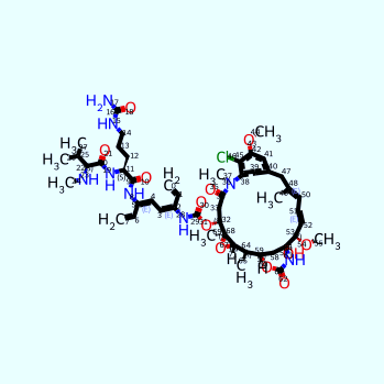 C=C/C(=C\C=C(/C=C)NC(=O)[C@H](CCCNC(N)=O)NC(=O)[C@@H](NC)C(C)C)NC(=O)O[C@H]1CC(=O)N(C)c2cc(cc(OC)c2Cl)C/C(C)=C/C=C/[C@@H](OC)[C@@]2(O)C[C@H](OC(=O)N2)[C@@H](C)[C@@H]2O[C@@]12C